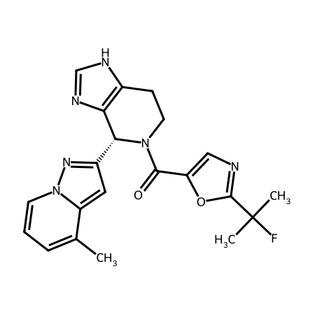 Cc1cccn2nc([C@@H]3c4nc[nH]c4CCN3C(=O)c3cnc(C(C)(C)F)o3)cc12